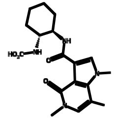 Cc1cn(C)c(=O)c2c(C(=O)N[C@@H]3CCCC[C@H]3NC(=O)O)cn(C)c12